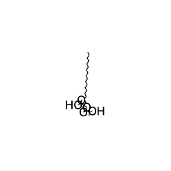 CCCCCCCCCCCCCCCCCCC(C)(OC(=O)C(C)O)C(=O)O